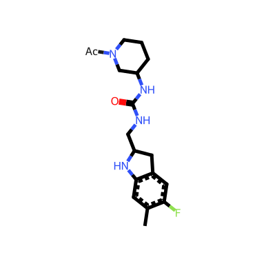 CC(=O)N1CCCC(NC(=O)NCC2Cc3cc(F)c(C)cc3N2)C1